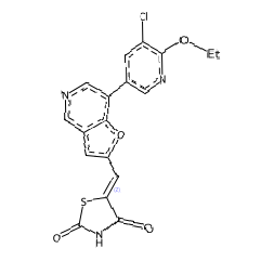 CCOc1ncc(-c2cncc3cc(/C=C4\SC(=O)NC4=O)oc23)cc1Cl